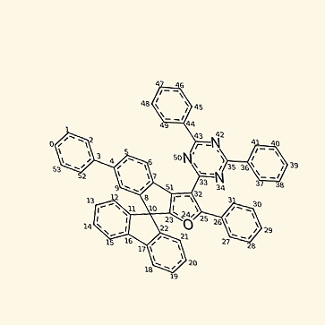 c1ccc(-c2ccc3c(c2)C2(c4ccccc4-c4ccccc42)c2oc(-c4ccccc4)c(-c4nc(-c5ccccc5)nc(-c5ccccc5)n4)c2-3)cc1